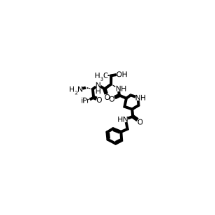 CC(C)C(=O)[C@H](CN)NC(=O)[C@@H](NC(=O)C1CNCC(C(=O)NCc2ccccc2)C1)[C@H](C)O